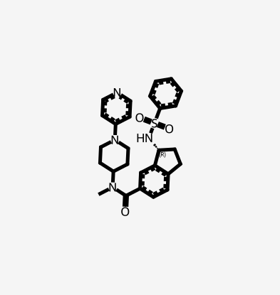 CN(C(=O)c1ccc2c(c1)[C@H](NS(=O)(=O)c1ccccc1)CC2)C1CCN(c2ccncc2)CC1